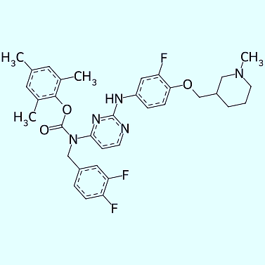 Cc1cc(C)c(OC(=O)N(Cc2ccc(F)c(F)c2)c2ccnc(Nc3ccc(OCC4CCCN(C)C4)c(F)c3)n2)c(C)c1